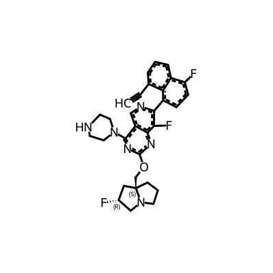 C#Cc1cccc2c(F)ccc(-c3ncc4c(N5CCNCC5)nc(OC[C@@]56CCCN5C[C@H](F)C6)nc4c3F)c12